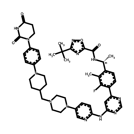 Cc1c([C@@H](C)NC(=O)c2nc(C(C)(C)C)no2)ccc(-c2cc(Nc3ccc(N4CCN(CC5CCN(c6ccc(N7CCC(=O)NC7=O)cc6)CC5)CC4)cn3)ncn2)c1F